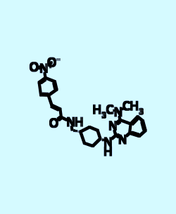 CN(C)c1nc(N[C@H]2CC[C@@H](CNC(=O)/C=C/c3ccc([N+](=O)[O-])cc3)CC2)nc2ccccc12